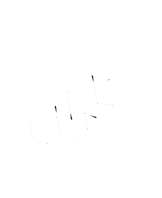 C[C@]12CCC(O)CC1=CC(O)[C@@H]1[C@H]2CC[C@@]2(C)[C@H]1CCC2(O)C#CCl